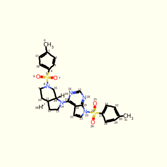 Cc1ccc(S(=O)(=O)N2CC[C@@H]3CCN(c4ncnc5c4ccn5S(=O)(=O)c4ccc(C)cc4)[C@H]3C2)cc1